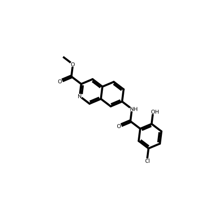 COC(=O)c1cc2ccc(NC(=O)c3cc(Cl)ccc3O)cc2cn1